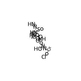 CC1(C)CCC(c2ccc(Cl)cc2)=C(CN2CCN(c3ccc(C(=O)NS(=O)(=O)c4ccc(N[C@H](CCN5CCNCC5)CSc5ccccc5)c(S(=O)(=O)C(F)(F)F)c4)cc3)[C@H](CO)C2)C1